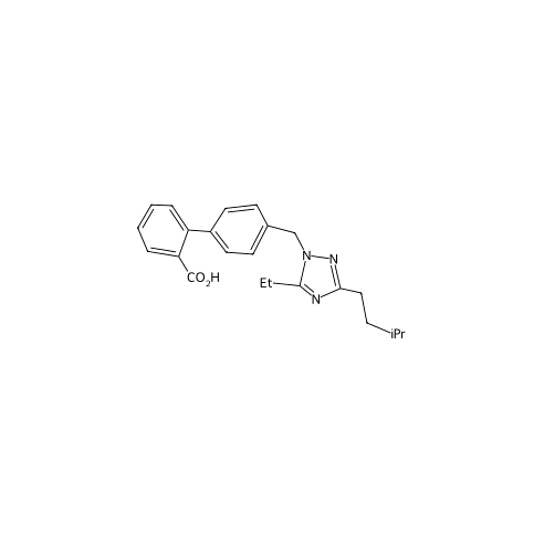 CCc1nc(CCC(C)C)nn1Cc1ccc(-c2ccccc2C(=O)O)cc1